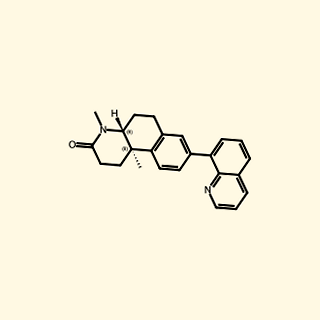 CN1C(=O)CC[C@]2(C)c3ccc(-c4cccc5cccnc45)cc3CC[C@@H]12